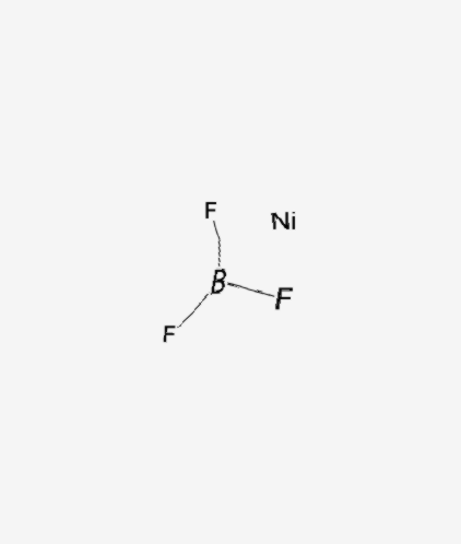 FB(F)F.[Ni]